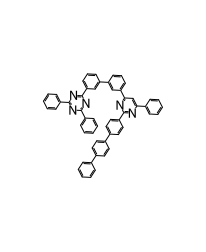 c1ccc(-c2ccc(-c3ccc(-c4nc(-c5ccccc5)cc(-c5cccc(-c6cccc(-c7nc(-c8ccccc8)nc(-c8ccccc8)n7)c6)c5)n4)cc3)cc2)cc1